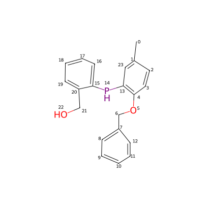 Cc1ccc(OCc2ccccc2)c(Pc2ccccc2CO)c1